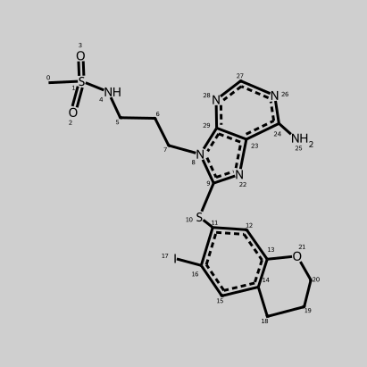 CS(=O)(=O)NCCCn1c(Sc2cc3c(cc2I)CCCO3)nc2c(N)ncnc21